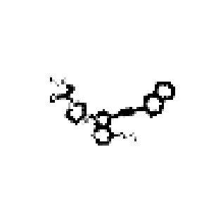 C=CC(=O)N1CC[C@@H](n2cc(C#Cc3ccc4ccccc4c3)c3c(N)ccnc32)C1